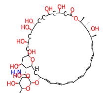 C[C@@H]1[C@H](O)[C@@H](C)/C=C/C=C/C=C/C=C/C=C/C=C/C=C/[C@H](O[C@@H]2C[C@@H](N)[C@H](O)[C@H](C)O2)C[C@@H]2O[C@](O)(C[C@@H](O)C[C@@H](O)[C@H](O)CC[C@@H](O)C[C@@H](O)CC(=O)O[C@H]1C)C[C@H](O)[C@H]2C(=O)O